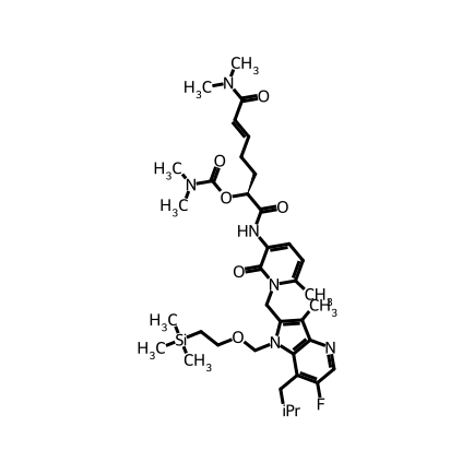 Cc1c(Cn2c(C)ccc(NC(=O)[C@H](CC/C=C/C(=O)N(C)C)OC(=O)N(C)C)c2=O)n(COCC[Si](C)(C)C)c2c(CC(C)C)c(F)cnc12